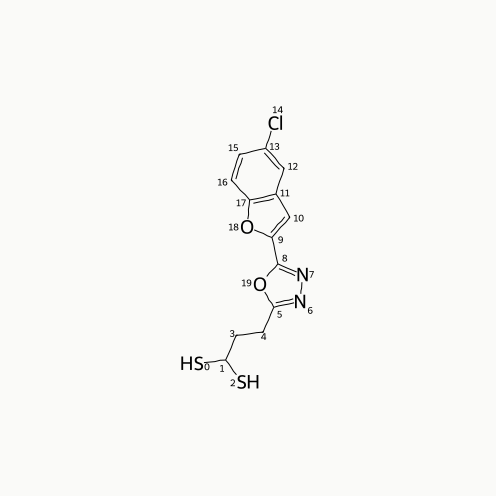 SC(S)CCc1nnc(-c2cc3cc(Cl)ccc3o2)o1